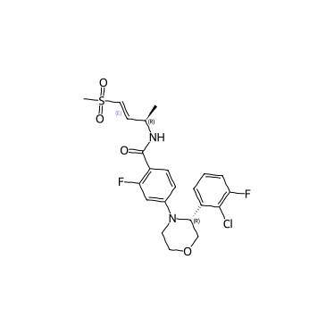 C[C@H](/C=C/S(C)(=O)=O)NC(=O)c1ccc(N2CCOC[C@H]2c2cccc(F)c2Cl)cc1F